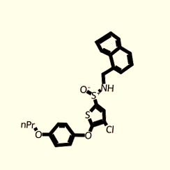 CCCOc1ccc(Oc2sc([S+]([O-])NCc3cccc4ccccc34)cc2Cl)cc1